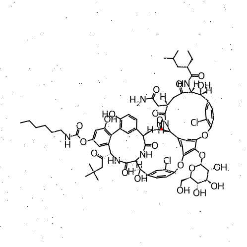 CCCCCCNC(=O)Oc1cc(O)c2c(c1)[C@@H](C(=O)CC(C)(C)C)NC(=O)[C@H]1NC(=O)[C@H](CC(=O)[C@@H]3NC(=O)[C@H](CC(N)=O)CC(=O)[C@H](NC(=O)[C@H](CC)CC(C)C)[C@H](O)c4ccc(c(Cl)c4)Oc4cc3cc(c4O[C@@H]3O[C@H](CO)[C@@H](O)[C@H](O)[C@H]3O)Oc3ccc(cc3Cl)[C@H]1O)c1ccc(O)c-2c1